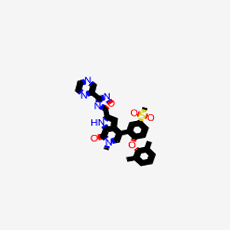 Cc1cccc(C)c1Oc1ccc(S(C)(=O)=O)cc1-c1cn(C)c(=O)c2[nH]c(-c3nc(-c4cnccn4)no3)cc12